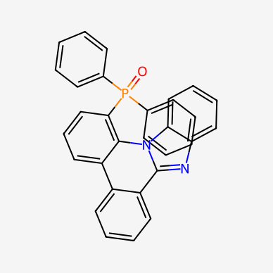 O=P(c1ccccc1)(c1ccccc1)c1cccc2c3ccccc3c3nc4ccccc4n3c12